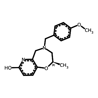 COc1ccc(CN2Cc3nc(O)ccc3O[C@H](C)C2)cc1